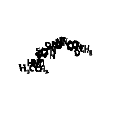 CC(C)NC(=O)c1csc2cc(C(=O)Nc3cc4n(n3)CCN4c3ccc4c(c3)CCN(C)C4=O)ccc12